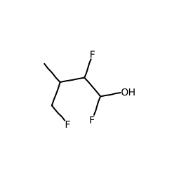 CC(CF)C(F)C(O)F